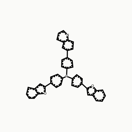 c1cnc2ccc(-c3ccc(N(c4ccc(-c5cc6ccccc6o5)cc4)c4ccc(-c5cc6ccccc6o5)cc4)cc3)cc2c1